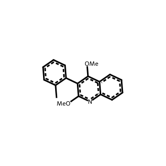 COc1nc2ccccc2c(OC)c1-c1ccccc1C